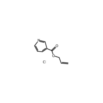 C=CCOC(=O)c1cccnc1.[C]